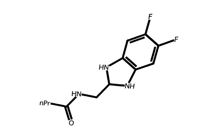 CCCC(=O)NCC1Nc2cc(F)c(F)cc2N1